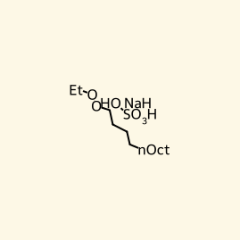 CCCCCCCCCCCCOOCC.O=S(=O)(O)O.[NaH]